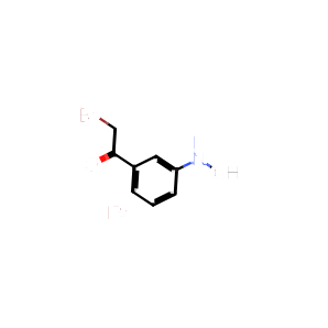 Br.CNc1cccc(C(=O)CBr)c1